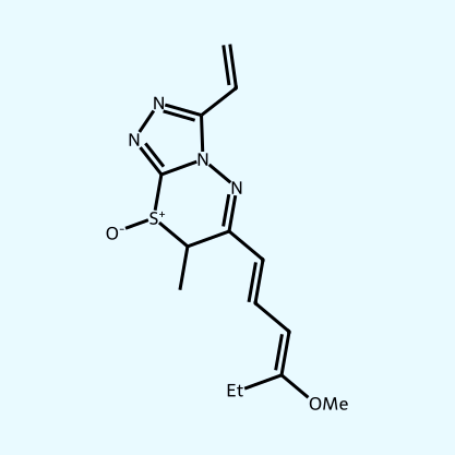 C=Cc1nnc2n1N=C(/C=C/C=C(\CC)OC)C(C)[S+]2[O-]